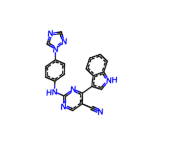 N#Cc1cnc(Nc2ccc(-n3cncn3)cc2)nc1-c1c[nH]c2ccccc12